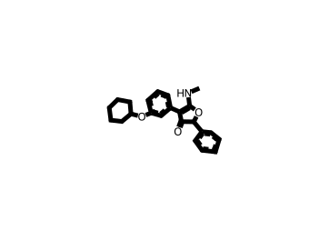 CNC1=C(c2cccc(OC3CCCCC3)c2)C(=O)C(c2ccccc2)O1